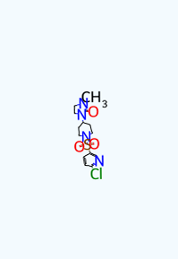 CN1CCN(C2CCN(S(=O)(=O)c3ccc(Cl)nc3)CC2)C1=O